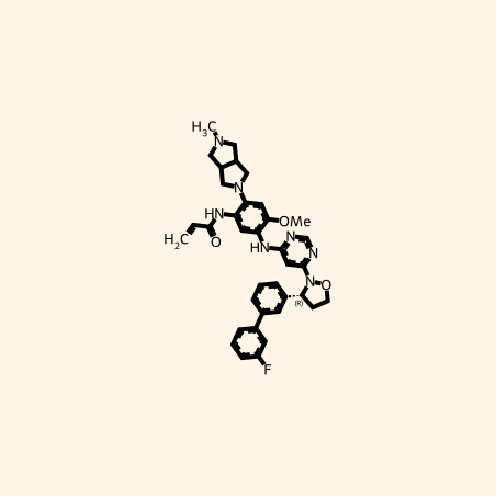 C=CC(=O)Nc1cc(Nc2cc(N3OCC[C@@H]3c3cccc(-c4cccc(F)c4)c3)ncn2)c(OC)cc1N1CC2CN(C)CC2C1